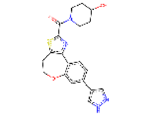 O=C(c1nc2c(s1)CCOc1cc(-c3cn[nH]c3)ccc1-2)N1CCC(O)CC1